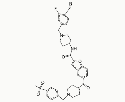 CS(=O)(=O)c1ccc(CN2CCN(C(=O)c3ccc4oc(C(=O)NC5CCN(Cc6ccc(C#N)c(F)c6)CC5)cc4c3)CC2)cc1